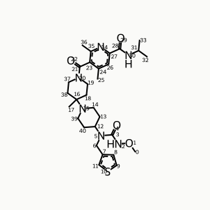 CONC(=O)N(Cc1ccsc1)C1CCN(C2(C)CCN(C(=O)c3c(C)cc(C(=O)NC(C)C)nc3C)CC2)CC1